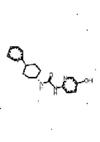 O=C(Nc1ccc(O)cn1)N[C@H]1CC[C@H](c2ccccc2)CC1